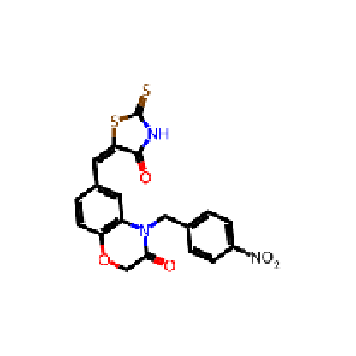 O=C1NC(=S)SC1=Cc1ccc2c(c1)N(Cc1ccc([N+](=O)[O-])cc1)C(=O)CO2